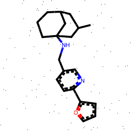 CC1CC2CCCC(NCc3ccc(-c4ccco4)nc3)(C1)C2